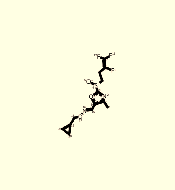 Cc1nc([S+]([O-])CCC(F)=C(F)F)oc1/C=N/OCC1CC1